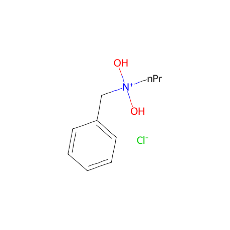 CCC[N+](O)(O)Cc1ccccc1.[Cl-]